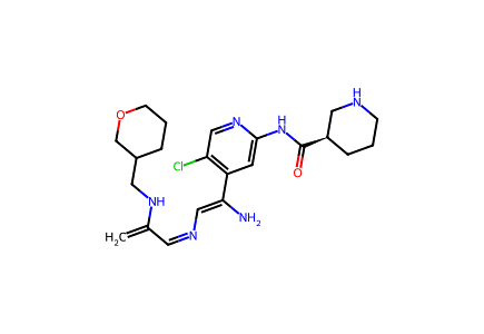 C=C(/C=N\C=C(/N)c1cc(NC(=O)[C@@H]2CCCNC2)ncc1Cl)NCC1CCCOC1